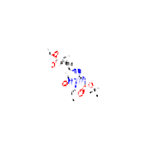 CCCN/C(=N\C(=O)OC(C)(C)C)NC(CCOC)[C@@H]1C[C@H]1C(=O)OCC